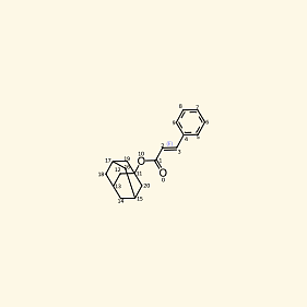 O=C(/C=C/c1ccccc1)OC12CC3CC(CC(C3)C1)C2